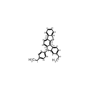 CCc1ccc(-n2c3cc(CC)ccc3c3c4sc5ccccc5c4ccc32)cc1